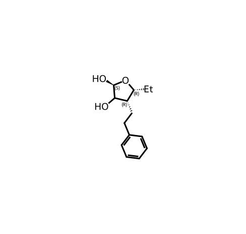 CC[C@H]1O[C@H](O)C(O)[C@H]1CCc1ccccc1